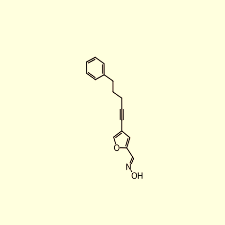 O/N=C/c1cc(C#CCCCc2ccccc2)co1